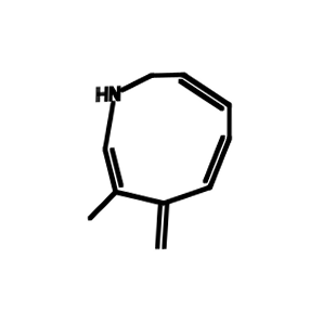 C=C1/C=C\C=C/CN/C=C\1C